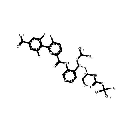 CC(C)O[C@H](C[C@H](CO)NC(=O)OC(C)(C)C)c1ccncc1NC(=O)c1ccc(F)c(-c2c(F)cc(C(=O)O)cc2F)n1